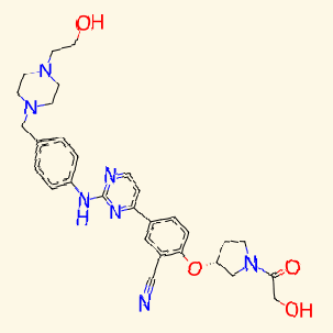 N#Cc1cc(-c2ccnc(Nc3ccc(CN4CCN(CCO)CC4)cc3)n2)ccc1O[C@@H]1CCN(C(=O)CO)C1